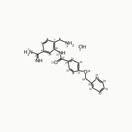 Cl.N=C(N)c1ccc(CN)c(NC(=O)c2ccc(OCc3ccccn3)cc2)c1